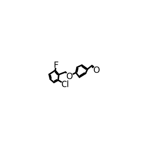 O=Cc1ccc(OCc2c(F)cccc2Cl)cc1